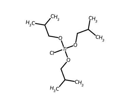 CC(C)C[O][Ti]([Cl])([O]CC(C)C)[O]CC(C)C